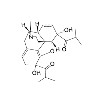 CC(C)C(=O)C1(O)CC=C2C[C@@H]3[C@@H]4C=C[C@@](O)(C(=O)C(C)C)[C@@H]5OC1=C2[C@@]54CCN3C